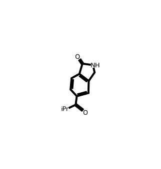 CC(C)C(=O)c1ccc2c(c1)CNC2=O